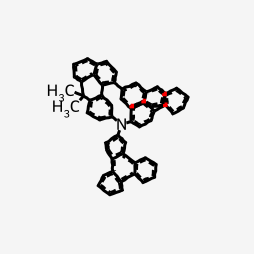 CC1(C)c2ccc(N(c3ccc(-c4ccccc4)cc3)c3ccc4c5ccccc5c5ccccc5c4c3)cc2-c2c(-c3ccc4ccccc4c3)ccc3cccc1c23